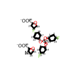 Fc1ccc([O][Sn+]([O]c2ccc(F)cc2)[O]c2ccc(F)cc2)cc1.O=C([O-])C1CCCO1.O=C([O-])C1CCCO1.[Na+]